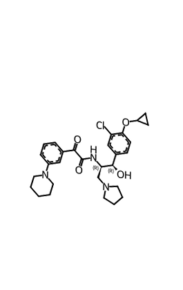 O=C(N[C@H](CN1CCCC1)[C@H](O)c1ccc(OC2CC2)c(Cl)c1)C(=O)c1cccc(N2CCCCC2)c1